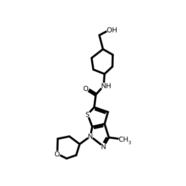 Cc1nn(C2CCOCC2)c2sc(C(=O)NC3CCC(CO)CC3)cc12